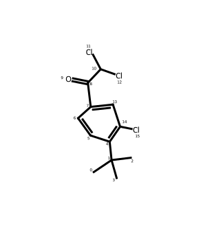 CC(C)(C)c1ccc(C(=O)C(Cl)Cl)cc1Cl